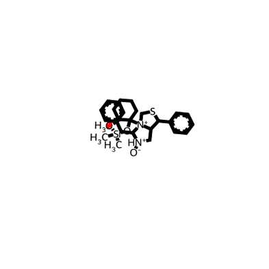 C[Si](C)(C)OC1([N+]23CSC(c4ccccc4)C2C[NH+]([O-])C3Cc2ccccc2)CCCCC1=O